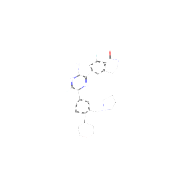 C[C@@H]1CCCN1Cc1cc(-c2nc(-c3cc(F)c4c(c3)CCNC4=O)c(N)nc2F)ccc1C1CCOCC1